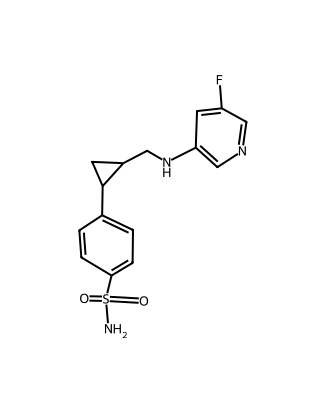 NS(=O)(=O)c1ccc(C2CC2CNc2cncc(F)c2)cc1